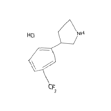 Cl.FC(F)(F)c1cccc(C2CCNC2)c1